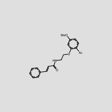 COc1ccc(C(C)=O)c(OCCNC(=O)/C=C/c2ccccc2)c1